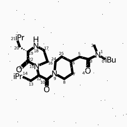 CCC(C)N(C)C(=O)CC1CCN(C(=O)C(CC(C)C)N2CCN[C@@H](CC(C)C)C2=O)CC1